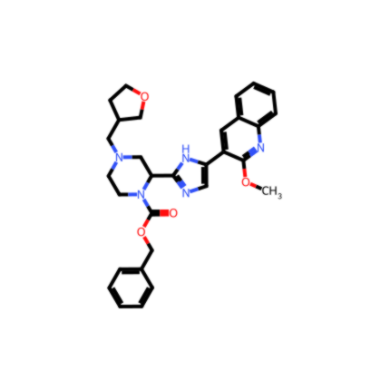 COc1nc2ccccc2cc1-c1cnc(C2CN(CC3CCOC3)CCN2C(=O)OCc2ccccc2)[nH]1